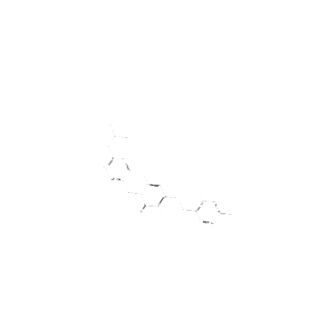 Cc1cc(OCc2ccc(F)cc2F)c(Br)c(=O)n1Cc1cnc(NC(CO)CO)nc1